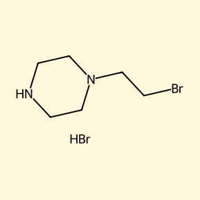 Br.BrCCN1CCNCC1